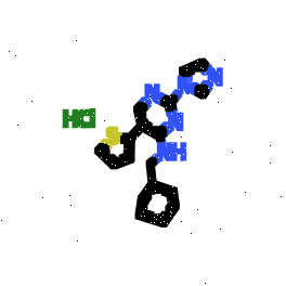 Cl.c1ccc(CNc2nc(-n3ccnc3)ncc2-c2cccs2)cc1